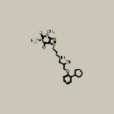 Cn1c(=O)c2c(ncn2CCCNCC(O)COc2ccccc2C2CCCC2)n(C)c1=O